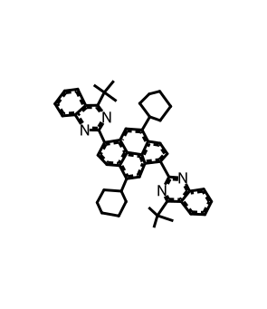 CC(C)(C)c1nc(-c2ccc3c(C4CCCCC4)cc4c(-c5nc(C(C)(C)C)c6ccccc6n5)ccc5c(C6CCCCC6)cc2c3c45)nc2ccccc12